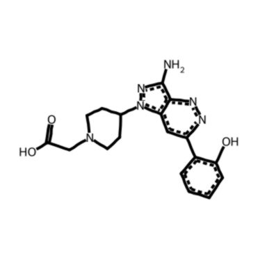 Nc1nn(C2CCN(CC(=O)O)CC2)c2cc(-c3ccccc3O)nnc12